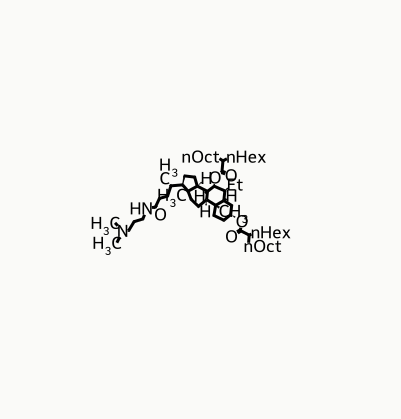 CCCCCCCCC(CCCCCC)C(=O)O[C@@H]1CC[C@@]2(C)[C@@H](C1)[C@@H](CC)[C@@H](OC(=O)C(CCCCCC)CCCCCCCC)[C@@H]1[C@@H]2CC[C@]2(C)[C@@H]([C@H](C)CCC(=O)NCCCN(C)C)CC[C@@H]12